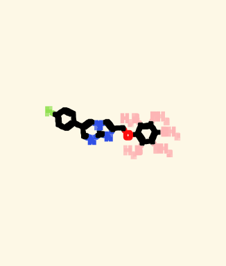 Bc1c(B)c(B)c(OCc2cn3cc(-c4ccc(F)cc4)cnc3n2)c(B)c1B